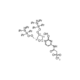 CC(C)[SiH](C(C)C)[Si](OOC[C@H]1O[C@@H](n2ccc(NC(=O)CS(=O)(=O)C(F)(F)F)nc2=O)[C@@H](O)[C@@H]1OO[Si](C(C)C)(C(C)C)[SiH](C(C)C)C(C)C)(C(C)C)C(C)C